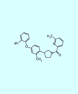 Cc1cccc(C(=O)N2CCC(c3ccc(Oc4ccccc4C(C)C)cc3C)C2)n1